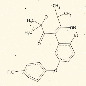 CCc1ccc(Oc2ccc(C(F)(F)F)cc2)cc1C1=C(O)C(C)(C)OC(C)(C)C1=O